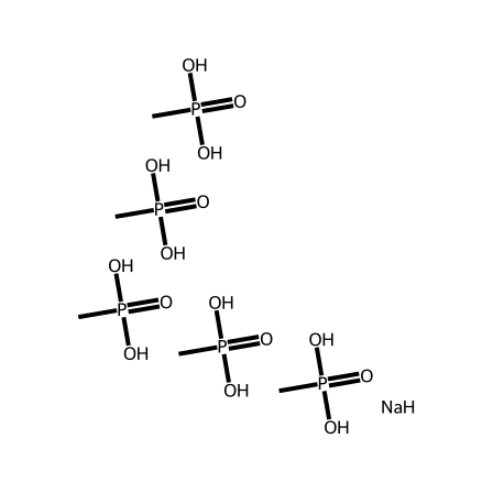 CP(=O)(O)O.CP(=O)(O)O.CP(=O)(O)O.CP(=O)(O)O.CP(=O)(O)O.[NaH]